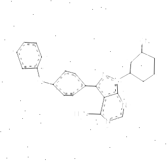 N#CC1CCCC(n2nc(-c3ccc(Oc4ccccc4)cc3)c3c(N)ncnc32)C1